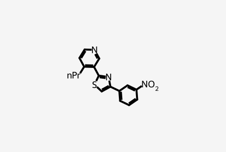 CCCc1ccncc1-c1nc(-c2cccc([N+](=O)[O-])c2)cs1